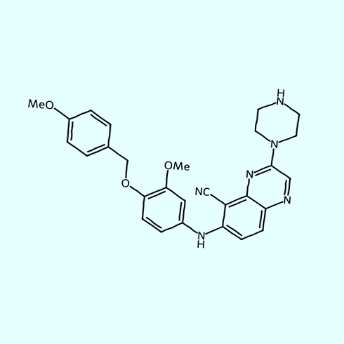 COc1ccc(COc2ccc(Nc3ccc4ncc(N5CCNCC5)nc4c3C#N)cc2OC)cc1